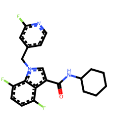 O=C(NC1CCCCC1)c1cn(Cc2ccnc(F)c2)c2c(F)ccc(F)c12